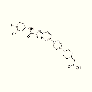 O=C(O)C[C@H]1CC[C@H](c2ccc(-c3ccc4nc(C(=O)Nc5ccc(F)c(Cl)c5)cn4c3)cc2)CC1